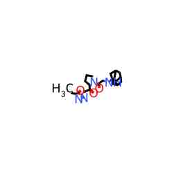 CCc1nnc(C(=O)C2CCCN2C(=O)CNC23CC4CC(CC(C4)C2)C3)o1